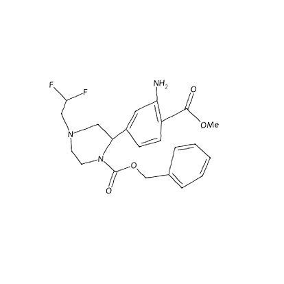 COC(=O)c1ccc(C2CN(CC(F)F)CCN2C(=O)OCc2ccccc2)cc1N